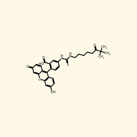 CC(C)(C)C(=O)CCCCCNC(=S)Nc1ccc(-c2c3ccc(=O)cc-3oc3cc(O)ccc23)c(C(=O)O)c1